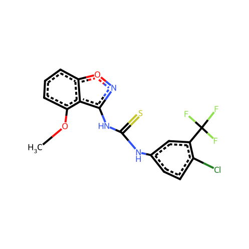 COc1cccc2onc(NC(=S)Nc3ccc(Cl)c(C(F)(F)F)c3)c12